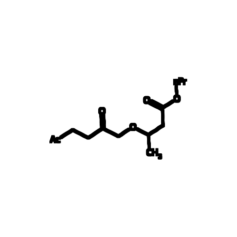 CCCOC(=O)CC(C)OCC(=O)CCC(C)=O